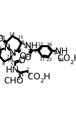 O=C[C@H](CC(=O)O)NC(=O)[C@@H]1CCCN2C(=O)CC[C@H](NC(=O)c3ccc(NC(=O)O)cc3)C(=O)N12